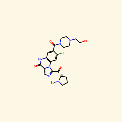 CCN1CCC[C@H]1C(=O)c1ncc2c(=O)[nH]c3cc(C(=O)N4CCN(CCO)CC4)c(Cl)cc3n12